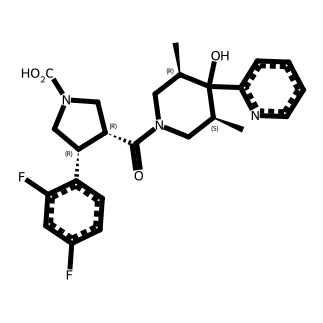 C[C@@H]1CN(C(=O)[C@H]2CN(C(=O)O)C[C@H]2c2ccc(F)cc2F)C[C@H](C)C1(O)c1ccccn1